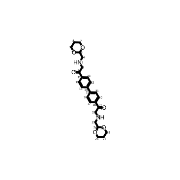 O=C(CNCC1OCCCO1)c1ccc(-c2ccc(C(=O)CNCC3OCCCO3)cc2)cc1